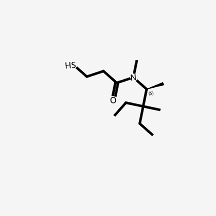 CCC(C)(CC)[C@H](C)N(C)C(=O)CCS